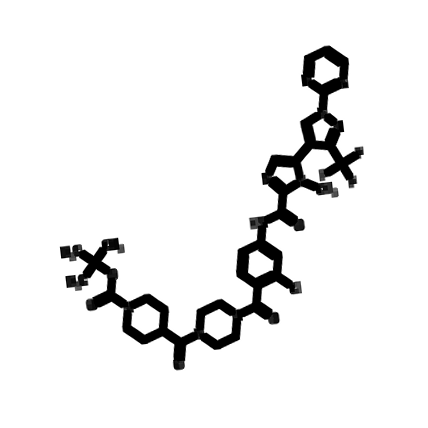 Cn1c(-c2cn(-c3ncccn3)nc2C(F)(F)F)cnc1C(=O)Nc1ccc(C(=O)N2CCN(C(=O)C3CCN(C(=O)OC(C)(C)C)CC3)CC2)c(Cl)c1